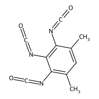 Cc1cc(C)c(N=C=O)c(N=C=O)c1N=C=O